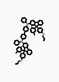 C=CCOc1ccc(C2(c3cc(C)ccc3C)c3ccccc3-c3ccc(N(c4ccccc4)c4ccc(-c5ccc(N(c6ccccc6)c6ccc7c(c6)C(c6ccc(OCC=C)cc6)(c6cc(C)ccc6C)c6ccccc6-7)cc5)cc4)cc32)cc1